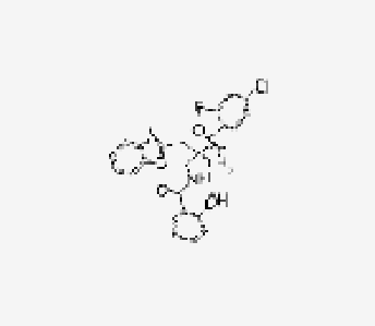 CC(CNC(=O)c1ccccc1O)(Cc1nc2ccccc2o1)S(=O)(=O)c1ccc(Cl)cc1F